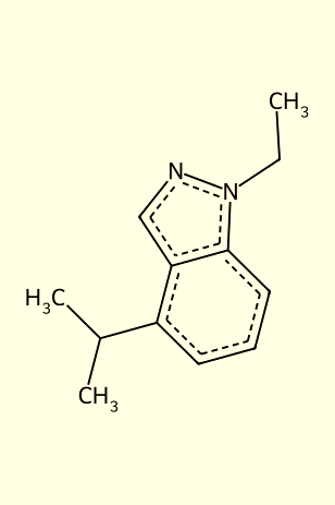 CCn1ncc2c(C(C)C)cccc21